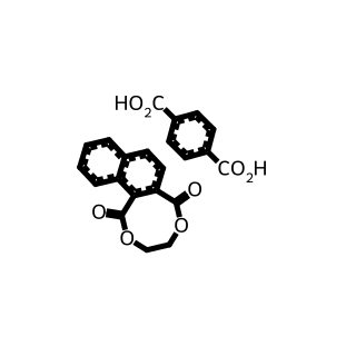 O=C(O)c1ccc(C(=O)O)cc1.O=C1OCCOC(=O)c2c1ccc1ccccc21